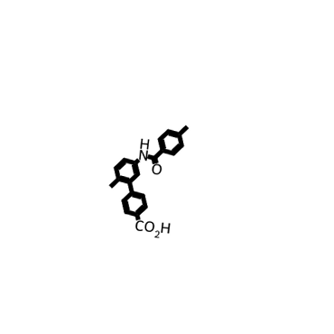 Cc1ccc(C(=O)Nc2ccc(C)c(-c3ccc(C(=O)O)cc3)c2)cc1